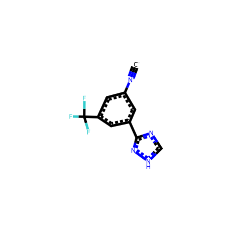 [C-]#[N+]c1cc(-c2nc[nH]n2)cc(C(F)(F)F)c1